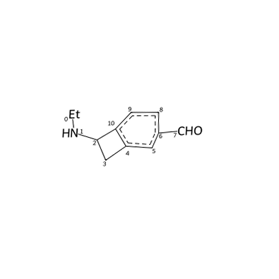 CCNC1Cc2cc(C=O)ccc21